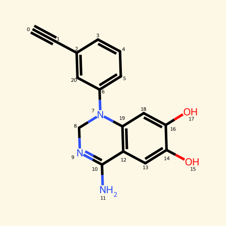 C#Cc1cccc(N2CN=C(N)c3cc(O)c(O)cc32)c1